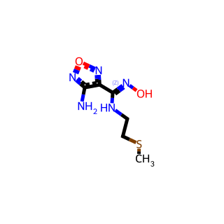 CSCCN/C(=N\O)c1nonc1N